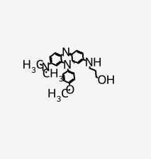 COc1ccc(-[n+]2c3cc(NCCCO)ccc3nc3ccc(N(C)C)cc32)cc1